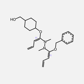 C=C/C=C(/OCc1ccccc1)N(C)N(C)/C(=C\C=C)OC1CCC(CO)CC1